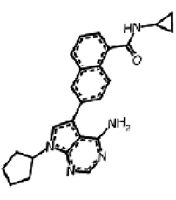 Nc1ncnc2c1c(-c1ccc3c(C(=O)NC4CC4)cccc3c1)cn2C1CCCC1